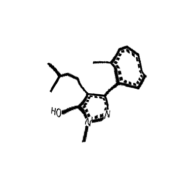 Cc1ccccc1-c1nn(C)c(O)c1CC(C)C